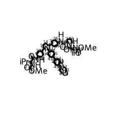 COC(=O)N[C@H](C(=O)Nc1ccc(C2CCC(c3ccc(NC(=O)[C@@H]4CCCN4C(=O)[C@@H](NC(=O)OC)C(C)C)cc3)N2c2ccc(-c3ccc(N4CCOCC4)nc3)cc2)cc1)C(C)C